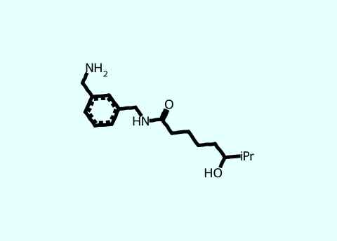 CC(C)C(O)CCCCC(=O)NCc1cccc(CN)c1